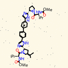 COC(=O)N[C@H](C(=O)N1CC(=C(C)C)C[C@H]1c1ncc(-c2ccc(C34CCC(c5cnc([C@@H]6CCCN6C(=O)[C@@H](NC(=O)OC)C(C)C)[nH]5)(CC3)CC4)cc2)[nH]1)C(C)C